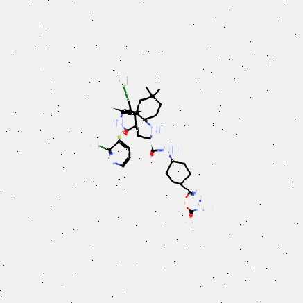 CC1(C)CCC2(CC1)N[C@@H](C(=O)NC1CCC(c3n[nH]c(=O)o3)CC1)[C@H](c1ccnc(Cl)c1F)[C@]21C(=O)Nc2cc(Cl)ccc21